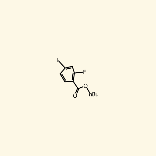 CCCCOC(=O)c1ccc(I)cc1F